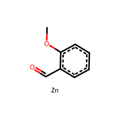 COc1ccccc1C=O.[Zn]